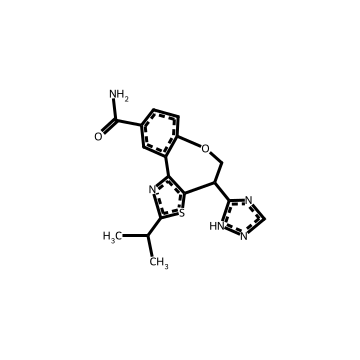 CC(C)c1nc2c(s1)C(c1ncn[nH]1)COc1ccc(C(N)=O)cc1-2